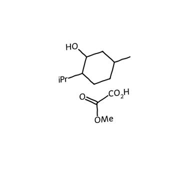 CC1CCC(C(C)C)C(O)C1.COC(=O)C(=O)O